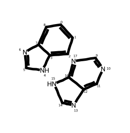 c1ccc2[nH]cnc2c1.c1ncc2nc[nH]c2n1